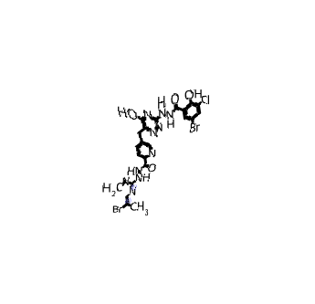 C=N/C(=N\C=C(/C)Br)NNC(=O)c1ccc(Cc2nnc(NNC(=O)c3cc(Br)cc(Cl)c3O)nc2O)cn1